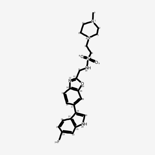 CN1CCN(CCS(=O)(=O)NCc2nc3ccc(-c4c[nH]c5cc(F)ccc45)cc3o2)CC1